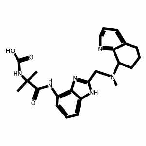 CN(Cc1nc2c(NC(=O)C(C)(C)NC(=O)O)cccc2[nH]1)C1CCCc2cccnc21